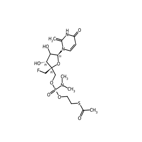 C=C1NC(=O)C=CN1[C@H]1O[C@](CF)(COP(=O)(OCCSC(C)=O)N(C)C)[C@H](O)C1O